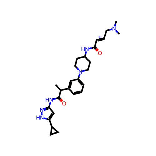 CC(C(=O)Nc1cc(C2CC2)[nH]n1)c1cccc(N2CCC(NC(=O)/C=C/CN(C)C)CC2)c1